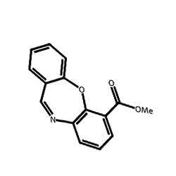 COC(=O)c1cccc2c1Oc1ccccc1C=N2